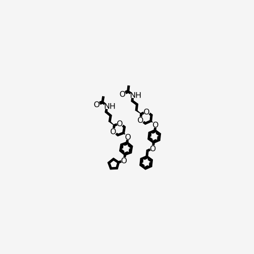 CC(=O)NCCC[C@H]1OC[C@H](Oc2ccc(OC3CCCC3)cc2)CO1.CC(=O)NCCC[C@H]1OC[C@H](Oc2ccc(OCc3ccccc3)cc2)CO1